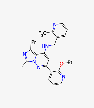 CCOc1ncccc1-c1cc(NCc2cccnc2C(F)(F)F)c2c(C(C)C)nc(C)n2n1